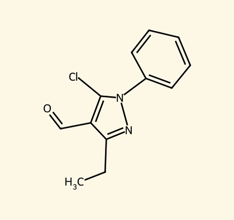 CCc1nn(-c2ccccc2)c(Cl)c1C=O